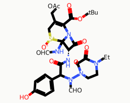 CCN1CCN(N(C=O)C(C(=O)N[C@H]2C(=O)N3C(C(=O)OC(C)(C)C)=C(COC(C)=O)C[S+]([O-])C23NC=O)c2ccc(O)cc2)C(=O)C1=O